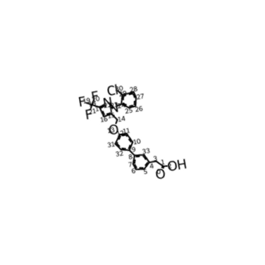 O=C(O)Cc1cccc(-c2ccc(OCc3cc(C(F)(F)F)nn3-c3ccccc3Cl)cc2)c1